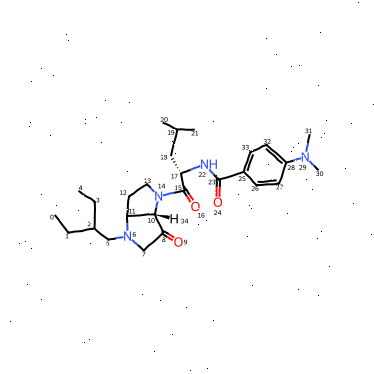 CCC(CC)CN1CC(=O)[C@@H]2C1CCN2C(=O)[C@H](CC(C)C)NC(=O)c1ccc(N(C)C)cc1